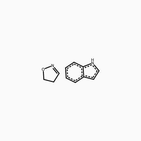 C1=NOCC1.c1ccc2[nH]ccc2c1